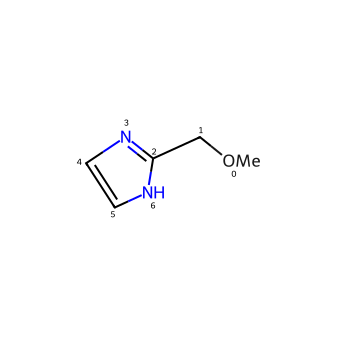 COCc1ncc[nH]1